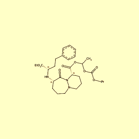 CCOC(=O)[C@H](CCc1ccccc1)N[C@H]1CCCN2CCC[C@@H](C(=O)OC(C)OC(=O)OC(C)C)N2C1=O